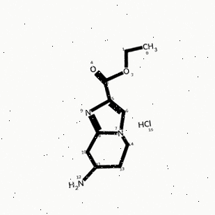 CCOC(=O)c1cn2c(n1)CC(N)CC2.Cl